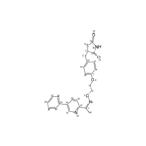 C/C(=N/OCCOc1ccc(CC2SC(=O)NC2=O)cc1)c1ccc(-c2ccccc2)cn1